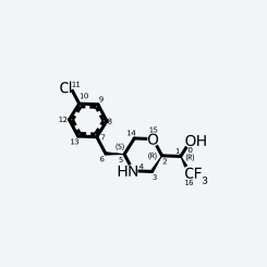 O[C@H]([C@H]1CN[C@@H](Cc2ccc(Cl)cc2)CO1)C(F)(F)F